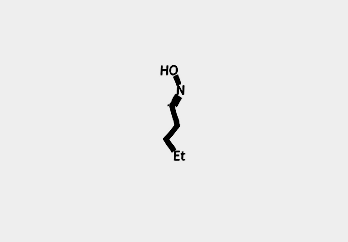 CCCC/[C]=N/O